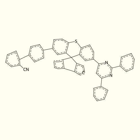 N#Cc1ccccc1-c1ccc(-c2ccc3c(c2)C2(c4cc(-c5cc(-c6ccccc6)nc(-c6ccccc6)n5)ccc4S3)c3ccccc3-c3ccccc32)cc1